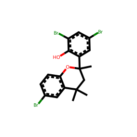 CC1(C)CC(C)(c2cc(Br)cc(Br)c2O)Oc2ccc(Br)cc21